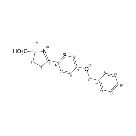 CC1(C(=O)O)CCC(c2ccc(OCc3ccccc3)cc2)=N1